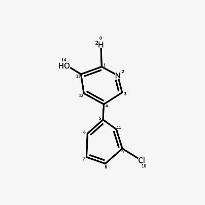 [2H]c1ncc(-c2cccc(Cl)c2)cc1O